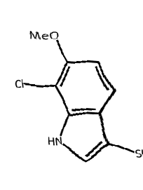 COc1ccc2c(S)c[nH]c2c1Cl